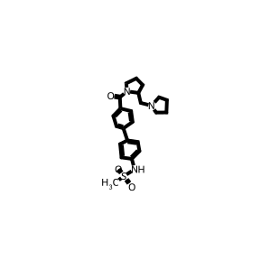 CS(=O)(=O)Nc1ccc(-c2ccc(C(=O)N3CCCC3CN3CCCC3)cc2)cc1